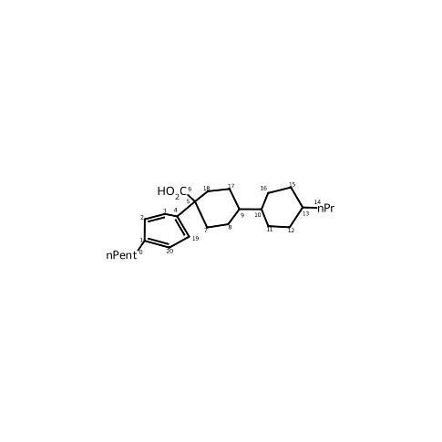 CCCCCc1ccc(C2(C(=O)O)CCC(C3CCC(CCC)CC3)CC2)cc1